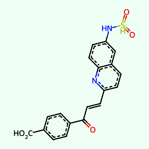 O=C(O)c1ccc(C(=O)C=Cc2ccc3cc(N[SH](=O)=O)ccc3n2)cc1